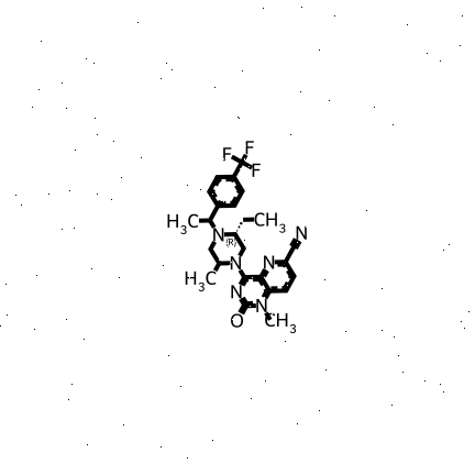 CC[C@@H]1CN(c2nc(=O)n(C)c3ccc(C#N)nc23)C(C)CN1C(C)c1ccc(C(F)(F)F)cc1